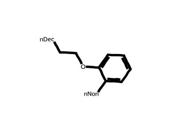 CCCCCCCCCCCCOc1ccccc1CCCCCCCCC